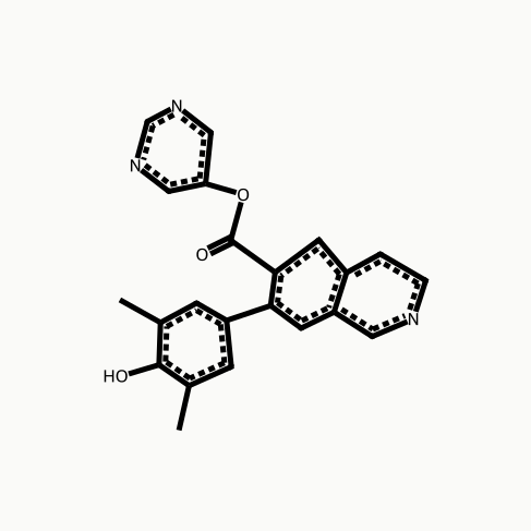 Cc1cc(-c2cc3cnccc3cc2C(=O)Oc2cncnc2)cc(C)c1O